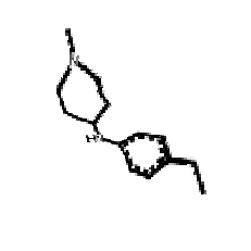 CCc1ccc(NC2CCN(C)CC2)cc1